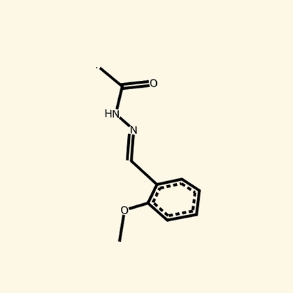 [CH2]C(=O)NN=Cc1ccccc1OC